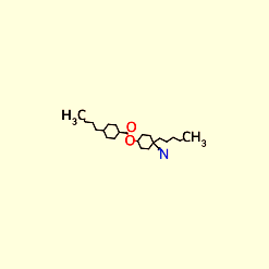 CCCCCC1(C#N)CCC(OC(=O)C2CCC(CCCC)CC2)CC1